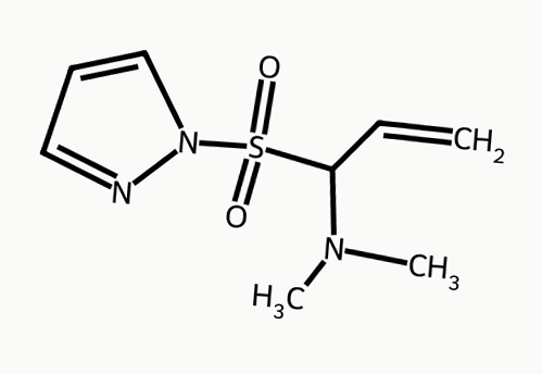 C=CC(N(C)C)S(=O)(=O)n1cccn1